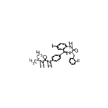 CC(C)NC(=O)Nc1ccc(C2=NC(Cc3ccccc3F)C(=O)Nc3ccc(I)cc32)cc1